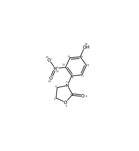 O=C1OCCN1c1ccc(O)cc1[N+](=O)[O-]